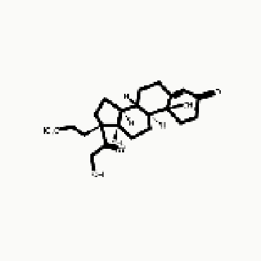 C[C@]12CCC(=O)C=C1CC[C@@H]1[C@@H]2CC[C@@]2(C)[C@H]1CC[C@@]2(CCC(=O)O)C(=O)CO